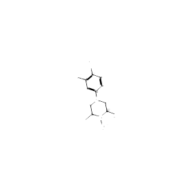 CCCN1C(C)CN(c2ccc(Cl)c(Cl)c2)CC1C